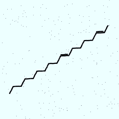 [CH2]C=CCCCCC=CCCCCCCCCC